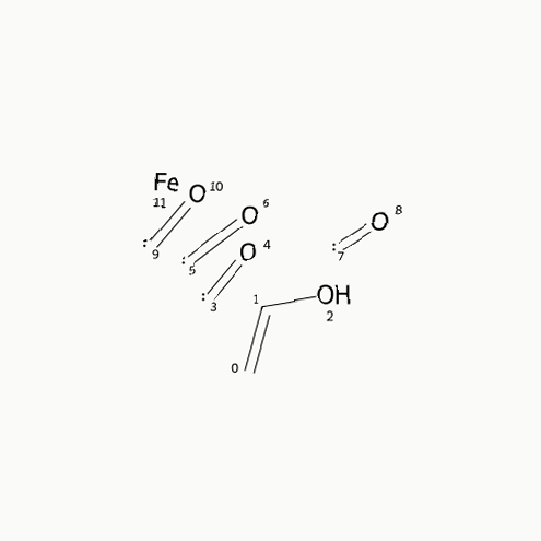 C=CO.[C]=O.[C]=O.[C]=O.[C]=O.[Fe]